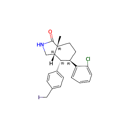 C[C@@]12CC[C@@H](c3ccccc3Cl)[C@H](c3ccc(CI)cc3)[C@@H]1CNC2=O